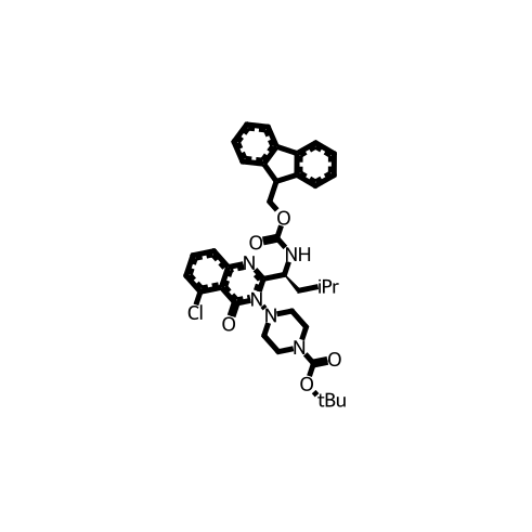 CC(C)C[C@H](NC(=O)OCC1c2ccccc2-c2ccccc21)c1nc2cccc(Cl)c2c(=O)n1N1CCN(C(=O)OC(C)(C)C)CC1